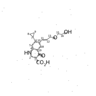 O=C(O)c1c[nH]c2cc(C3CC3)c(C=CCOCCO)cc2c1=O